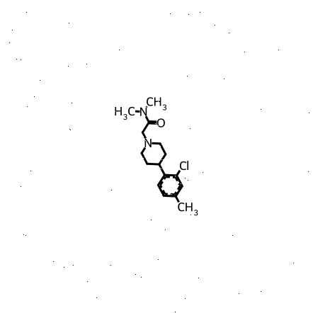 Cc1ccc(C2CCN(CC(=O)N(C)C)CC2)c(Cl)c1